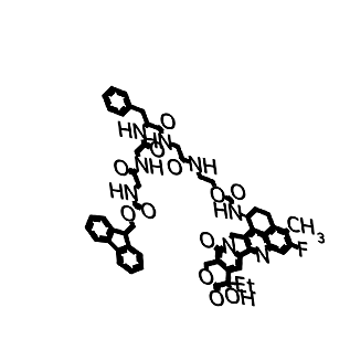 CC[C@@]1(O)C(=O)OCc2c1cc1n(c2=O)Cc2c-1nc1cc(F)c(C)c3c1c2[C@@H](NC(=O)OCCNC(=O)CNC(=O)C(Cc1ccccc1)NC(=O)CNC(=O)CNC(=O)OCC1c2ccccc2-c2ccccc21)CC3